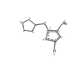 CCc1cc(C(C)(C)C)n(CC2CCOC2)n1